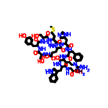 CSCCC(NC(=O)C(CO)NC(=O)C(Cc1ccc(O)cc1)NC(=O)C(N)CO)C(=O)NC(CCC(=O)O)C(=O)NC(Cc1cnc[nH]1)C(=O)NC(Cc1ccccc1)C(=O)NC(CCCN=C(N)N)C(=O)NC(Cc1c[nH]c2ccccc12)C(=O)NCC(=O)O